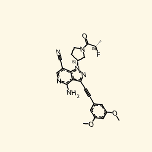 COc1cc(C#Cc2nn([C@H]3CCN(C(=O)[C@H](C)F)C3)c3c(C#N)cnc(N)c23)cc(OC)c1